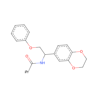 CC(C)C(=O)NC(COc1ccccc1)c1ccc2c(c1)OCCO2